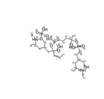 C/C=C\C(CC)(CC(COP(=O)(O)O)CC(C)NF)OP(=O)(O)OCCC(C)(CC)OP(=O)(O)OCC(CO)CC(C)NF